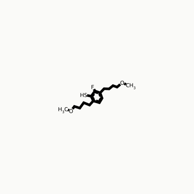 COCCCCc1ccc(CCCCOC)c(S)c1F